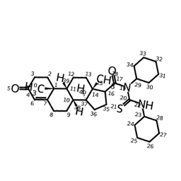 C[C@]12CCC(=O)C=C1CC[C@@H]1[C@H]2CC[C@]2(C)C(C(=O)N(C(=S)NC3CCCCC3)C3CCCCC3)CC[C@@H]12